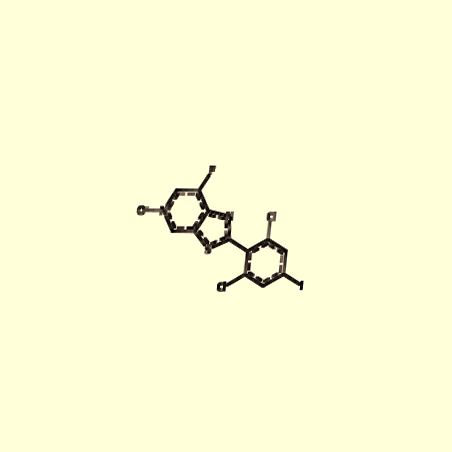 [O-][n+]1cc(F)c2nc(-c3c(Cl)cc(I)cc3Cl)sc2c1